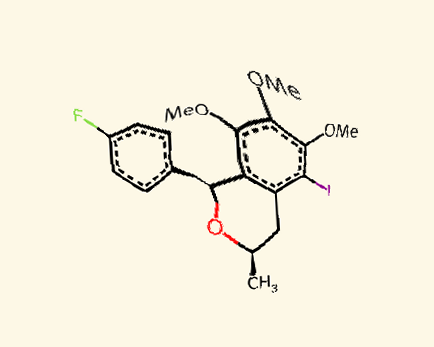 COc1c(I)c2c(c(OC)c1OC)[C@H](c1ccc(F)cc1)O[C@H](C)C2